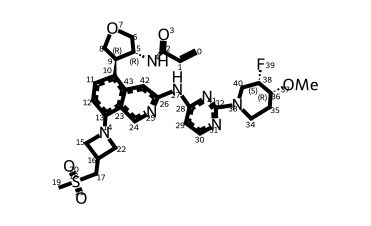 C=CC(=O)N[C@H]1COC[C@@H]1c1ccc(N2CC(CS(C)(=O)=O)C2)c2cnc(Nc3ccnc(N4CC[C@@H](OC)[C@@H](F)C4)n3)cc12